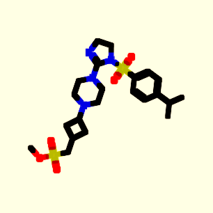 COS(=O)(=O)CC1CC(N2CCN(C3=NCCN3S(=O)(=O)c3ccc(C(C)C)cc3)CC2)C1